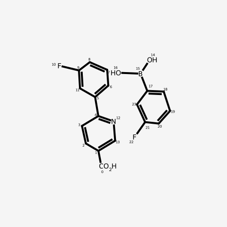 O=C(O)c1ccc(-c2cccc(F)c2)nc1.OB(O)c1cccc(F)c1